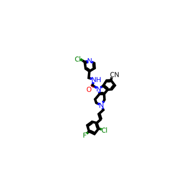 N#Cc1ccc2c3c(n(C(=O)NCc4ccnc(Cl)c4)c2c1)CCN(C/C=C/c1ccc(F)cc1Cl)C3